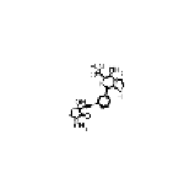 CN1CC[C@@](O)(C#Cc2cccc(C3=NC(C(N)=O)=C(N)N4C=CNC34)c2)C1=O